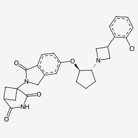 O=C1NC(=O)C2(N3Cc4cc(O[C@@H]5CCC[C@H]5N5CC(c6ccccc6Cl)C5)ccc4C3=O)CC1C2